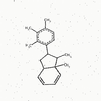 Cc1ccc(C2[C]C3C=CC=CC3(C)C2C)c(C)c1C